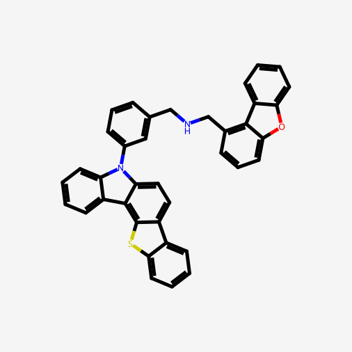 c1cc(CNCc2cccc3oc4ccccc4c23)cc(-n2c3ccccc3c3c4sc5ccccc5c4ccc32)c1